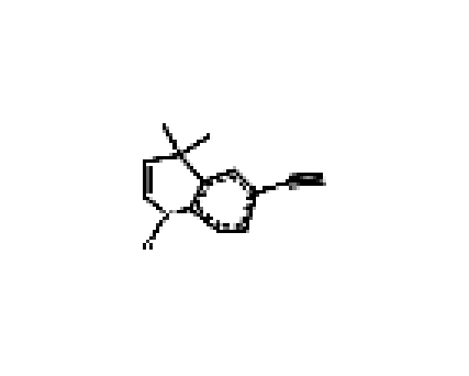 C#Cc1ccc2c(c1)C(C)(C)C=C[S+]2[O-]